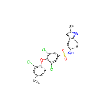 CC(C)(C)c1cc2cc(NS(=O)(=O)c3cc(Cl)c(Oc4ccc([N+](=O)[O-])cc4Cl)c(Cl)c3)ccc2[nH]1